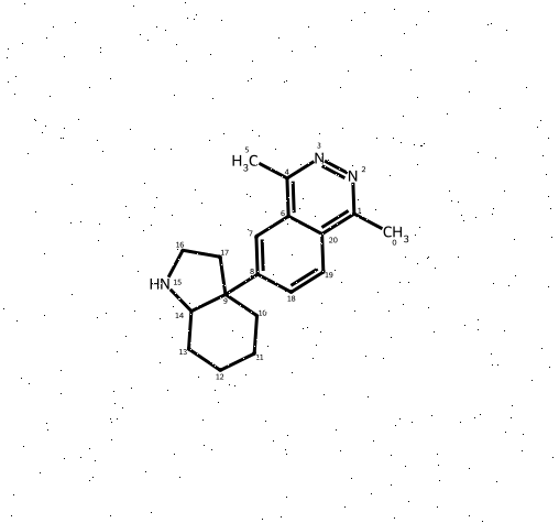 Cc1nnc(C)c2cc(C34CCCCC3NCC4)ccc12